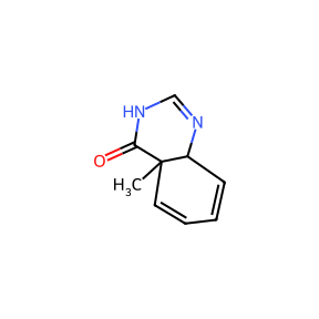 CC12C=CC=CC1N=CNC2=O